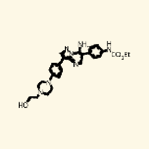 CCOC(=O)Nc1ccc(-c2cnc3c(-c4ccc(N5CCN(CCO)CC5)cc4)cnn3c2N)cc1